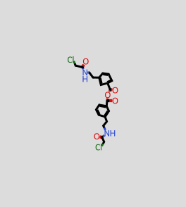 O=C(CCl)NCCc1cccc(C(=O)OC(=O)c2cccc(CCNC(=O)CCl)c2)c1